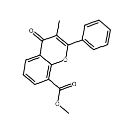 COC(=O)c1cccc2c(=O)c(C)c(-c3ccccc3)oc12